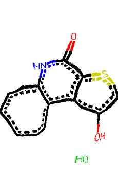 Cl.O=c1[nH]c2ccccc2c2c(O)csc12